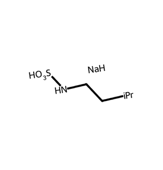 CC(C)CCNS(=O)(=O)O.[NaH]